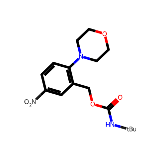 CC(C)(C)NC(=O)OCc1cc([N+](=O)[O-])ccc1N1CCOCC1